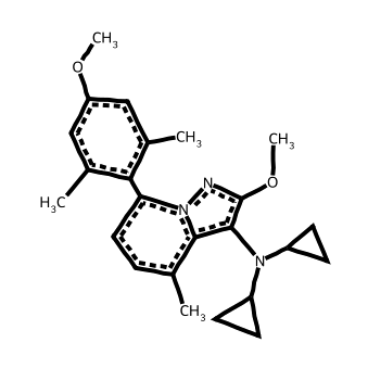 COc1cc(C)c(-c2ccc(C)c3c(N(C4CC4)C4CC4)c(OC)nn23)c(C)c1